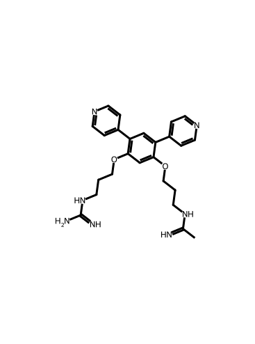 CC(=N)NCCCOc1cc(OCCCNC(=N)N)c(-c2ccncc2)cc1-c1ccncc1